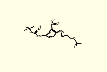 CC(=O)OCCCNc1ccc(NC(=O)OC(C)(C)C)cc1[N+](=O)[O-]